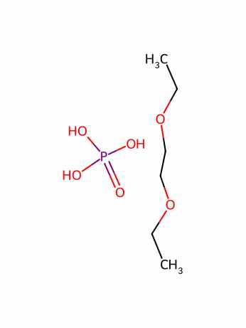 CCOCCOCC.O=P(O)(O)O